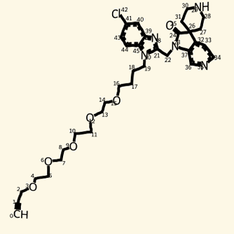 C#CCOCCOCCOCCOCCOCCCCn1c(CN2C(=O)C3(CCNCC3)c3ccncc32)nc2cc(Cl)ccc21